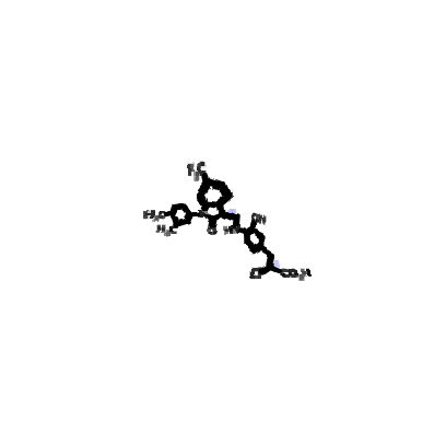 Cc1ccc(N2C(=O)/C(=C\Nc3ccc(/C=C(\Cl)C(=O)O)cc3O)c3ccc(C(F)(F)F)cc32)cc1C